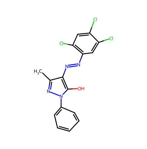 Cc1nn(-c2ccccc2)c(O)c1N=Nc1cc(Cl)c(Cl)cc1Cl